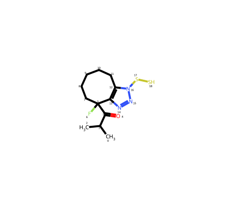 CC(C)C(=O)C1(F)CCCCCc2c1nnn2SS